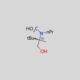 CCCN(C(=O)O)[C@](C)(CO)C(C)(C)C